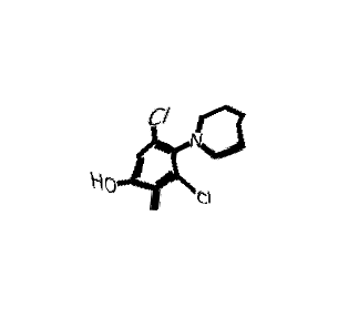 Cc1c(O)cc(Cl)c(N2CCCCC2)c1Cl